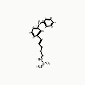 CC(C)(C)[S@+]([O-])NCCCC=Cc1cccc(Oc2ccccc2)c1